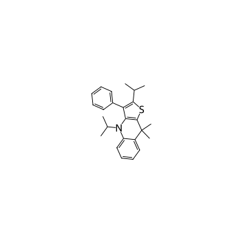 CC(C)c1sc2c(c1-c1ccccc1)N(C(C)C)c1ccccc1C2(C)C